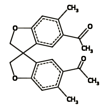 CC(=O)c1cc2c(cc1C)OCC21COc2cc(C)c(C(C)=O)cc21